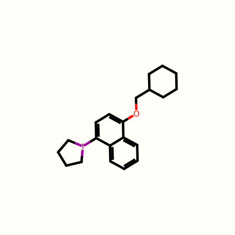 c1ccc2c(I3CCCC3)ccc(OCC3CCCCC3)c2c1